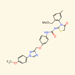 COCc1ccc(C)cc1N1C(=O)CSC1=NC(=O)Nc1ccc(OCc2ncn(-c3ccc(OC(F)(F)F)cc3)n2)cc1